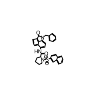 O=C(Nc1ccc2c3c(cccc13)C(=O)N2Cc1ccccc1)C1CCCCN1S(=O)(=O)c1ccc2ccccc2c1